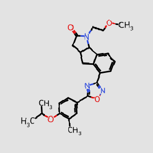 COCCN1C(=O)CC2Cc3c(-c4noc(-c5ccc(OC(C)C)c(C)c5)n4)cccc3C21